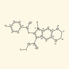 CCOC(=O)c1c(C[S+]([O-])c2ccc(C)cc2)n(C)c2cc3c(cc12)OCCO3